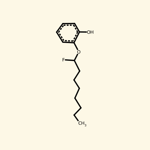 CCCCCCCC(F)Oc1ccccc1O